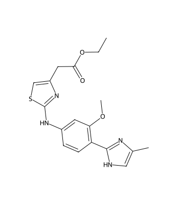 CCOC(=O)Cc1csc(Nc2ccc(-c3nc(C)c[nH]3)c(OC)c2)n1